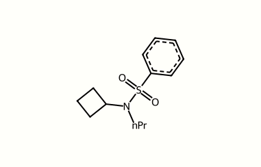 CCCN(C1CCC1)S(=O)(=O)c1ccccc1